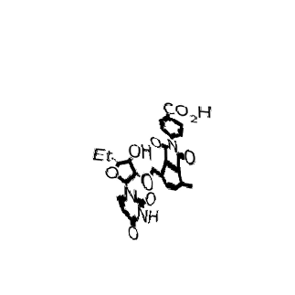 CC[C@H]1O[C@@H](n2ccc(=O)[nH]c2=O)[C@@H](OCC2C=CC(C)C3=C2C(=O)N(c2ccc(C(=O)O)cc2)C3=O)C1O